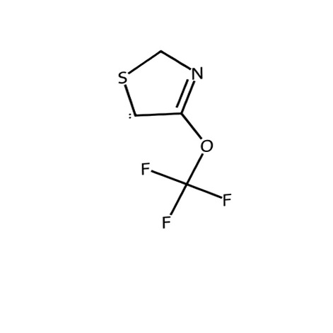 FC(F)(F)OC1=NCS[C]1